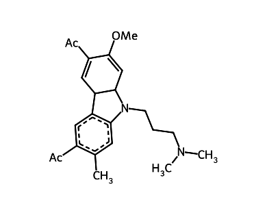 COC1=CC2C(C=C1C(C)=O)c1cc(C(C)=O)c(C)cc1N2CCCN(C)C